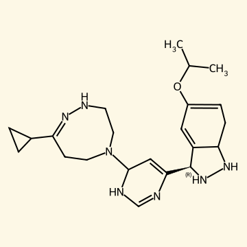 CC(C)OC1=CCC2NN[C@@H](C3=CC(N4CCNN=C(C5CC5)CC4)NC=N3)C2=C1